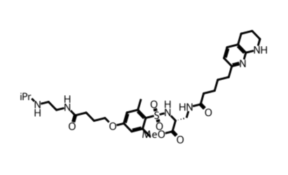 COC(=O)[C@@H](CNC(=O)CCCCc1ccc2c(n1)NCCC2)NS(=O)(=O)c1c(C)cc(OCCCC(=O)NCCNC(C)C)cc1C